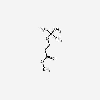 COC(=O)CCOC(C)(C)C